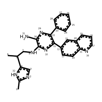 Cc1ncc(C(C)CNc2nc(-c3ccc4ncccc4c3)c(-c3ccccc3)nc2N)[nH]1